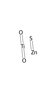 [O]=[Ti]=[O].[S]=[Zn]